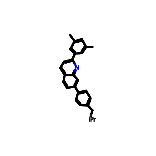 Cc1cc(C)cc(-c2ccc3ccc(-c4ccc(CC(C)C)cc4)cc3n2)c1